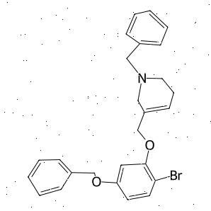 Brc1ccc(OCc2ccccc2)cc1OCC1=CCCN(Cc2ccccc2)C1